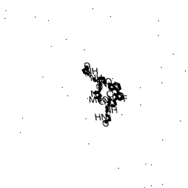 COc1nc(-c2cc(F)cc(-c3cccc4c3CC[C@@H]4Oc3ccc(CNC[C@@H]4CCC(=O)N4)c(OCc4cncc(C#N)c4)n3)c2Cl)ccc1CNC[C@@H]1CCC(=O)N1